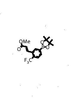 COC(=O)C=Cc1cc(B2OC(C)(C)C(C)(C)O2)ccc1C(F)(F)F